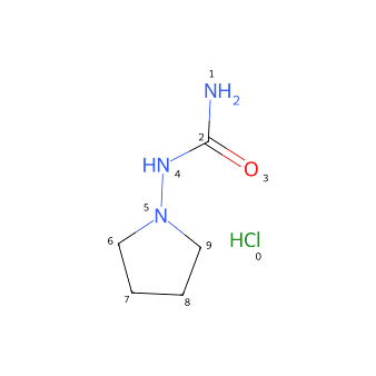 Cl.NC(=O)NN1CCCC1